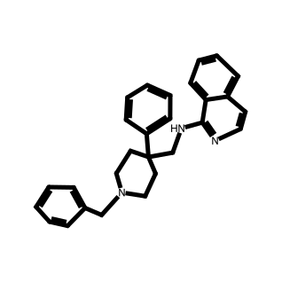 c1ccc(CN2CCC(CNc3nccc4ccccc34)(c3ccccc3)CC2)cc1